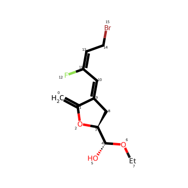 C=C1O[C@H]([C@@H](O)OCC)C/C1=C/C(F)=C\CBr